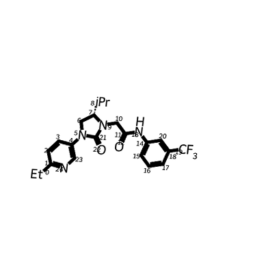 CCc1ccc(N2C[C@H](C(C)C)N(CC(=O)Nc3cccc(C(F)(F)F)c3)C2=O)cn1